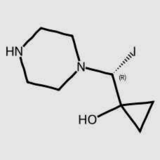 OC1([C@@H](I)N2CCNCC2)CC1